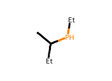 CCPC(C)CC